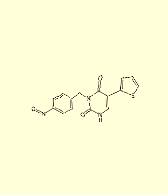 O=Nc1ccc(Cn2c(=O)[nH]cc(-c3cccs3)c2=O)cc1